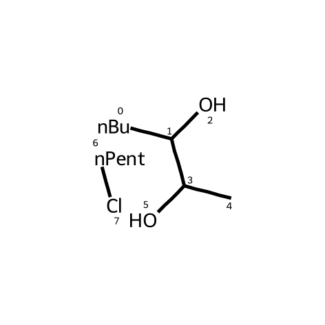 CCCCC(O)C(C)O.CCCCCCl